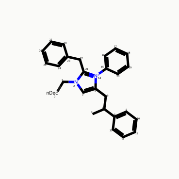 CCCCCCCCCCCn1cc(CC(C)c2ccccc2)[n+](-c2ccccc2)c1Cc1ccccc1